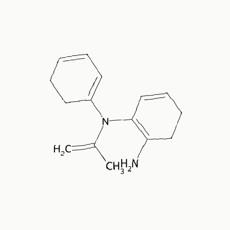 C=C(C)N(C1=CC=CCC1)C1=C(N)CCC=C1